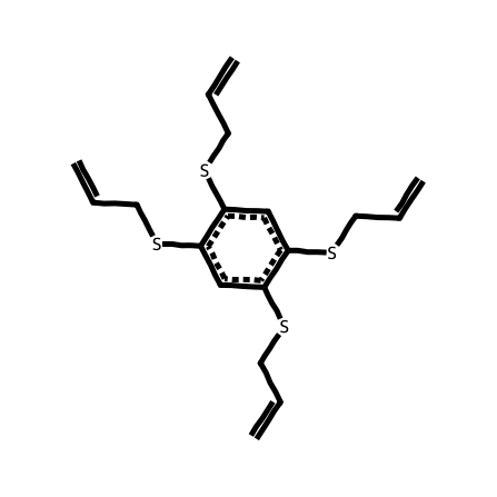 C=CCSc1cc(SCC=C)c(SCC=C)cc1SCC=C